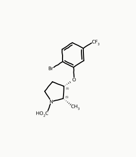 C[C@H]1[C@@H](Oc2cc(C(F)(F)F)ccc2Br)CCN1C(=O)O